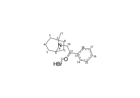 Br.CC12CCCC(CC1)N2CC(=O)c1ccccc1